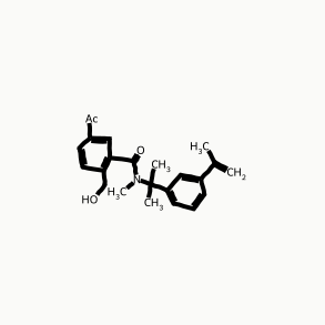 C=C(C)c1cccc(C(C)(C)N(C)C(=O)c2cc(C(C)=O)ccc2CO)c1